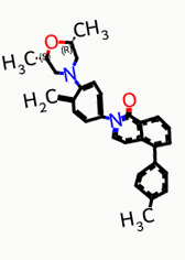 C=C1C=CC(n2ccc3c(-c4ccc(C)cc4)cccc3c2=O)=CC=C1N1C[C@@H](C)O[C@@H](C)C1